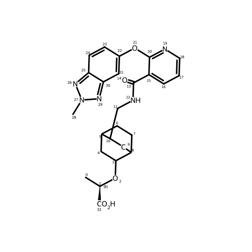 C[C@@H](OC1CC2CCC1CC2CNC(=O)c1cccnc1Oc1ccc2nn(C)nc2c1)C(=O)O